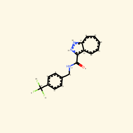 O=C(NCc1ccc(C(F)(F)F)cc1)c1nnc2cccccc1-2